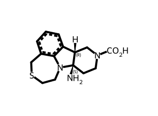 N[C@]12CCN(C(=O)O)C[C@H]1c1cccc3c1N2CCSC3